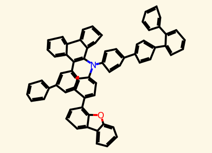 c1ccc(-c2cccc(-c3c(N(c4ccc(-c5ccc(-c6ccccc6-c6ccccc6)cc5)cc4)c4ccc(-c5cccc6c5oc5ccccc56)cc4)c4ccccc4c4ccccc34)c2)cc1